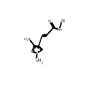 Cn1cc(/C=C/C(=O)NO)c([N+](=O)[O-])n1